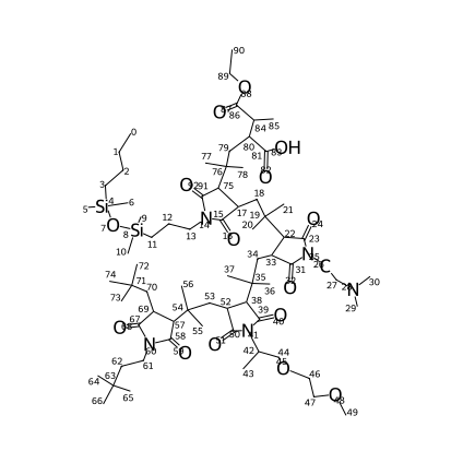 CCCC[Si](C)(C)O[Si](C)(C)CCCN1C(=O)C(CC(C)(C)C2C(=O)N(CCN(C)C)C(=O)C2CC(C)(C)C2C(=O)N(C(C)COCCOC)C(=O)C2CC(C)(C)C2C(=O)N(CCC(C)(C)C)C(=O)C2CC(C)(C)C)C(C(C)(C)CC(C(=O)O)C(C)C(=O)OCC)C1=O